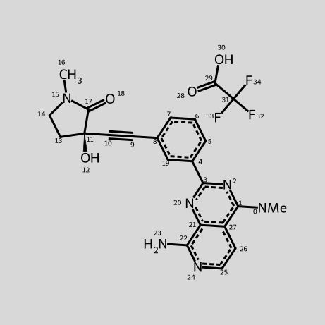 CNc1nc(-c2cccc(C#C[C@]3(O)CCN(C)C3=O)c2)nc2c(N)nccc12.O=C(O)C(F)(F)F